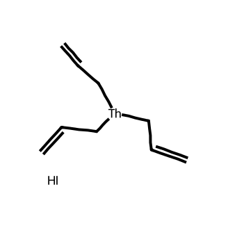 C=C[CH2][Th]([CH2]C=C)[CH2]C=C.I